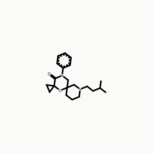 CC(C)CCN1CCCC2(C1)CN(c1ccccc1)C(=O)C1(CC1)O2